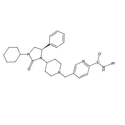 CC(C)N[S+]([O-])c1ccc(CN2CCC(N3C(=O)N(C4CCCCC4)C[C@H]3c3ccccc3)CC2)cn1